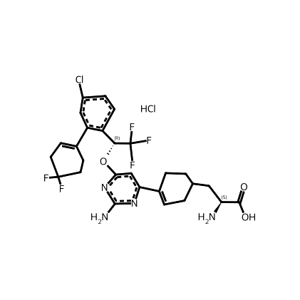 Cl.Nc1nc(O[C@H](c2ccc(Cl)cc2C2=CCC(F)(F)CC2)C(F)(F)F)cc(C2=CCC(C[C@H](N)C(=O)O)CC2)n1